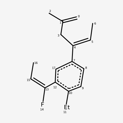 C=C(C)C/C(=C\C)c1ccc(CC)c(/C(F)=C\C)c1